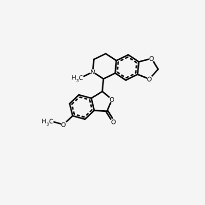 COc1ccc2c(c1)C(=O)OC2C1c2cc3c(cc2CCN1C)OCO3